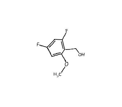 COc1cc(F)cc(F)c1CO